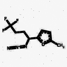 Cc1ccc(C(CCC(F)(F)F)N=[N+]=[N-])o1